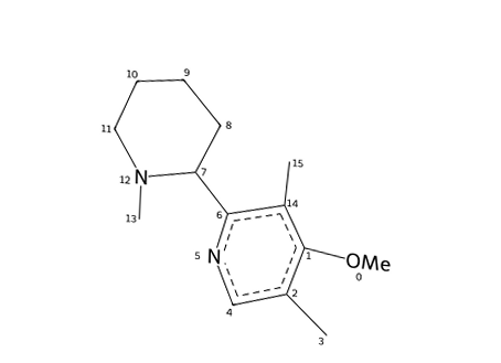 COc1c(C)cnc(C2CCCCN2C)c1C